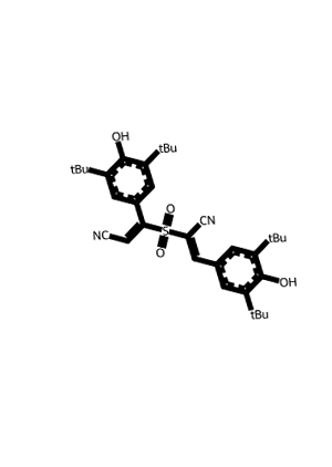 CC(C)(C)c1cc(/C=C(\C#N)S(=O)(=O)/C(=C/C#N)c2cc(C(C)(C)C)c(O)c(C(C)(C)C)c2)cc(C(C)(C)C)c1O